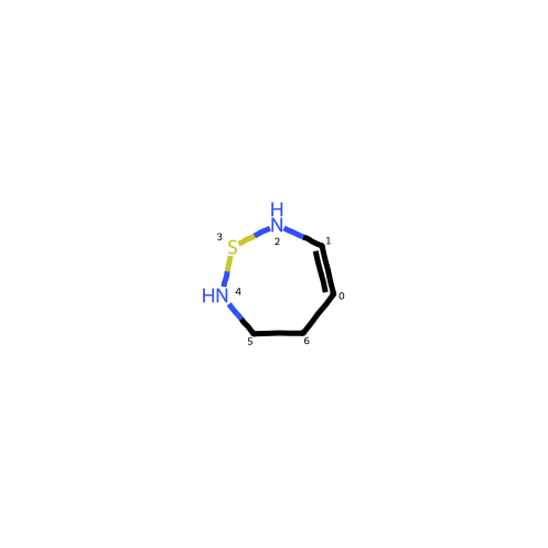 C1=CNSNCC1